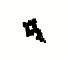 CC[Si](Cl)(Cl)c1ccc(C[n+]2ccc(-c3c4nc(c(-c5ccncc5)c5ccc([nH]5)c(-c5ccncc5)c5nc(c(-c6ccncc6)c6ccc3[nH]6)C=C5)C=C4)cc2)cc1